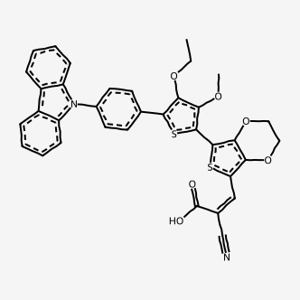 CCOc1c(-c2ccc(-n3c4ccccc4c4ccccc43)cc2)sc(-c2sc(/C=C(/C#N)C(=O)O)c3c2OCCO3)c1OC